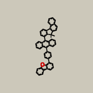 CC1(C)c2ccc3ccccc3c2-c2cccc(-c3c4ccccc4c(-c4ccc(-c5cccc6c5oc5ccccc56)cc4)c4ccccc34)c21